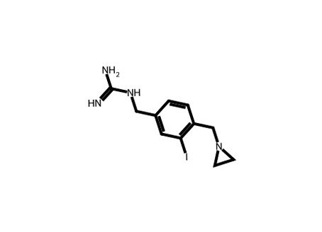 N=C(N)NCc1ccc(CN2CC2)c(I)c1